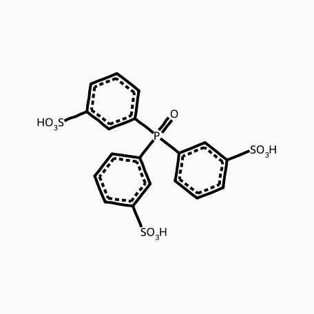 O=P(c1cccc(S(=O)(=O)O)c1)(c1cccc(S(=O)(=O)O)c1)c1cccc(S(=O)(=O)O)c1